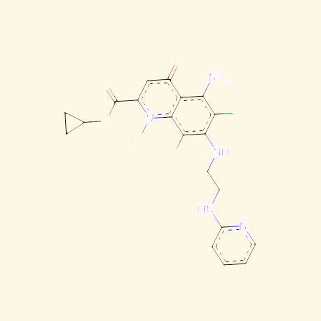 CCn1c(C(=O)OC2CC2)cc(=O)c2c(N)c(F)c(NCCNc3ccccn3)c(F)c21